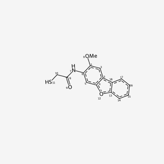 COc1cc2c(cc1NC(=O)CS)oc1ccccc12